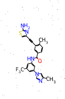 Cc1cn(-c2cc(NC(=O)c3ccc(C)c(C#Cc4csc(N)n4)c3)cc(C(F)(F)F)c2)cn1